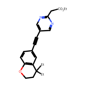 CCOC(=O)Cc1ncc(C#Cc2ccc3c(c2)C(CC)(CC)CCO3)cn1